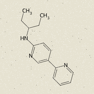 CCC(CC)Nc1ccc(-c2ccccn2)cn1